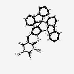 CN1C(=O)C(=Cc2cc3c(s2)-n2c4ccccc4c4cccc(c42)C32c3ccccc3-c3ccccc32)C(=O)N(C)C1=S